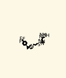 Cn1c(SCCCN2CC[C@]3(C[C@H]3c3ccc(C(F)(F)F)cc3)C2)nnc1/C(=C/S)N=N